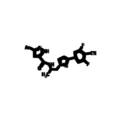 CC(=O)c1cc(C(=O)NC(C)Cn2ccc(-c3cc(F)c(C#N)c(F)c3)n2)[nH]n1